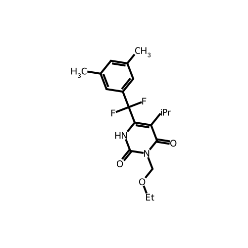 CCOCn1c(=O)[nH]c(C(F)(F)c2cc(C)cc(C)c2)c(C(C)C)c1=O